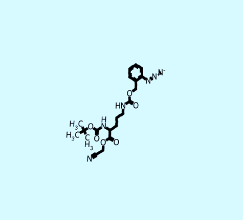 CC(C)(C)OC(=O)NC(CCCNC(=O)OCc1ccccc1N=[N+]=[N-])C(=O)OCC#N